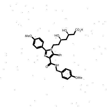 COc1ccc(CNC(=O)c2nc(-c3ccc(OC)cc3)n(CC[C@@H](O)C[C@@H](O)CC(=O)O)c2C(C)C)cc1